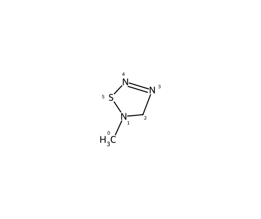 CN1CN=NS1